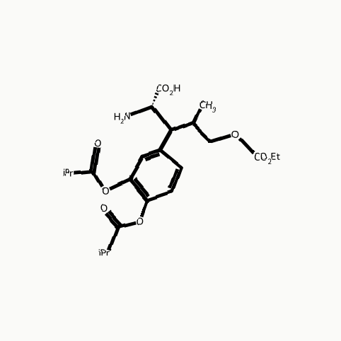 CCOC(=O)OCC(C)C(c1ccc(OC(=O)C(C)C)c(OC(=O)C(C)C)c1)[C@H](N)C(=O)O